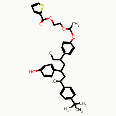 CCC(CC(CC(C)c1ccc(C(C)(C)C)cc1)c1ccc(O)cc1)c1ccc(OC(C)OCCOC(=O)c2cccs2)cc1